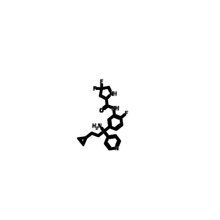 NC(CCC1CC1)(c1ccncc1)c1ccc(F)c(NC(=O)C2CC(F)(F)CN2)c1